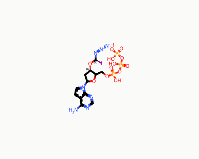 [N-]=[N+]=N[C@@H](I)O[C@@H]1CC(n2ccc3c(N)ncnc32)OC1COP(=O)(O)OP(=O)(O)OP(=O)(O)O